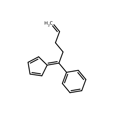 C=CCCC(=C1C=CC=C1)c1ccccc1